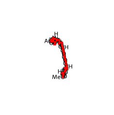 COC(=O)c1nc(NC(=O)c2ccc(NCCOCCOCCOCCOCCOCCNC(=O)CN3CCN(c4ccc(Nc5ncc6c(C)c(C(C)=O)c(=O)n(C7CCCC7)c6n5)nc4)CC3)cc2C)sc1C